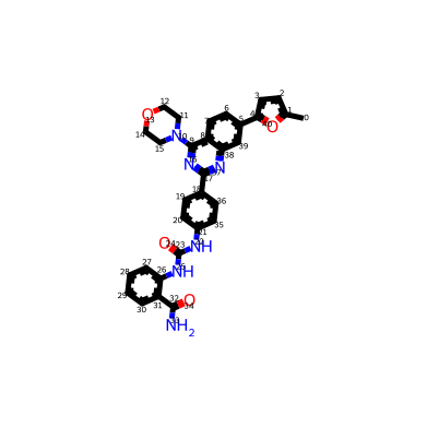 Cc1ccc(-c2ccc3c(N4CCOCC4)nc(-c4ccc(NC(=O)Nc5ccccc5C(N)=O)cc4)nc3c2)o1